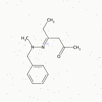 CC/C(CC(C)=O)=N\N(C)Cc1ccccc1